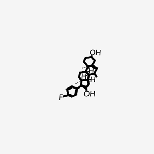 CC1C=C2CC(O)CC[C@]2(C)[C@@H]2CC[C@]3(C)C(c4ccc(F)cc4)=C(O)C[C@H]3[C@H]12